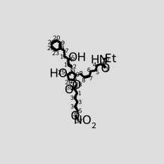 CCNC(=O)CCC/C=C\C[C@@H]1[C@@H](/C=C/[C@@H](O)CCc2ccccc2)[C@H](O)C[C@@H]1OC(=O)CCCCCO[N+](=O)[O-]